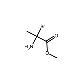 COC(=O)C(C)(N)Br